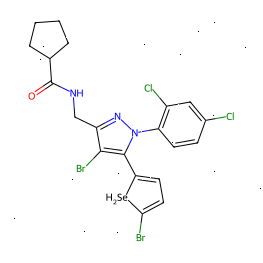 O=C(NCc1nn(-c2ccc(Cl)cc2Cl)c(C2=CC=C(Br)[SeH2]2)c1Br)C1CCCC1